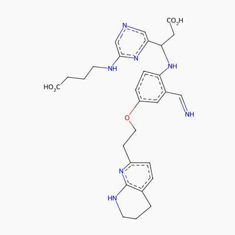 N=Cc1cc(OCCc2ccc3c(n2)NCCC3)ccc1NC(CC(=O)O)c1cncc(NCCCC(=O)O)n1